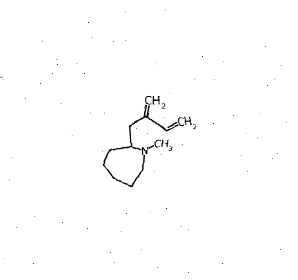 C=CC(=C)CC1CCCCCN1C